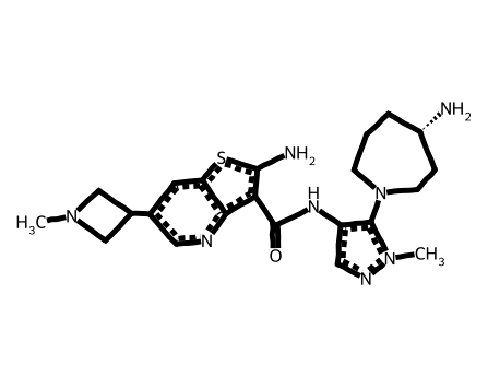 CN1CC(c2cnc3c(C(=O)Nc4cnn(C)c4N4CCC[C@H](N)CC4)c(N)sc3c2)C1